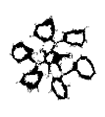 CCc1c(N(C2=CC=CCC=C2)c2ccccc2)c(CC)c(N(c2ccccc2)c2ccccc2)c(CC)c1N(C1=CC=CCC=C1)c1ccccc1